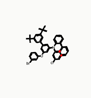 CC(C)(C)c1cc(-c2cc(Oc3cccc(Br)c3)cc(N(c3cccc(Cl)c3)c3ccccc3-c3ccccc3)c2)cc(C(C)(C)C)c1